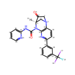 O=C1CN2C[C@H]1N(C(=O)Nc1ccccn1)c1nc(-c3cccc(C(F)(I)I)c3)ccc12